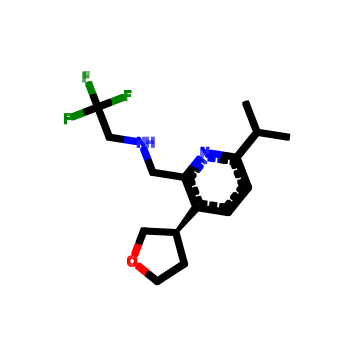 CC(C)c1ccc([C@H]2CCOC2)c(CNCC(F)(F)F)n1